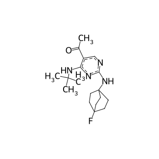 CC(=O)c1cnc(NC23CCC(F)(CC2)CC3)nc1NC(C)(C)C